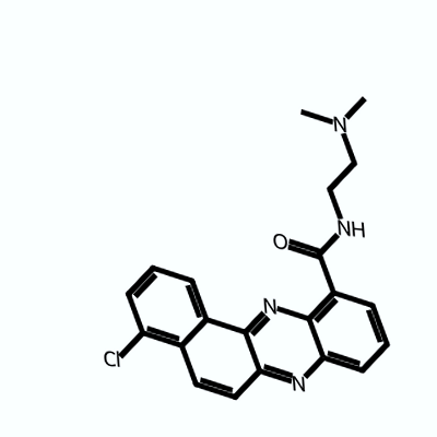 CN(C)CCNC(=O)c1cccc2nc3ccc4c(Cl)cccc4c3nc12